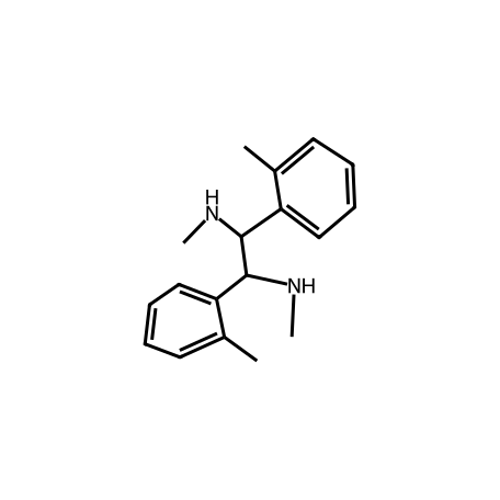 CNC(c1ccccc1C)C(NC)c1ccccc1C